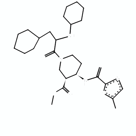 COC(=O)[C@H]1CN(C(=O)C(CC2CCCCC2)NC2CCCCC2)CC[C@H]1NC(=O)c1ncc(C)s1